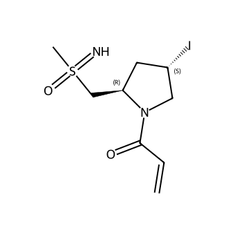 C=CC(=O)N1C[C@@H](I)C[C@@H]1CS(C)(=N)=O